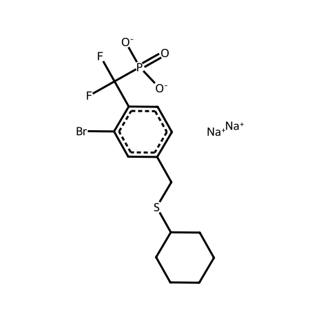 O=P([O-])([O-])C(F)(F)c1ccc(CSC2CCCCC2)cc1Br.[Na+].[Na+]